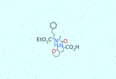 CCOC(=O)C(CCc1ccccc1)N[C@@H](C)C(=O)N1CC2OCCCC2CC1C(=O)O